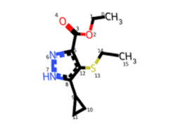 CCOC(=O)c1n[nH]c(C2CC2)c1SCC